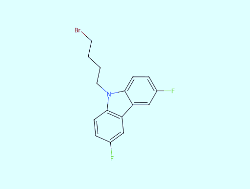 Fc1ccc2c(c1)c1cc(F)ccc1n2CCCCBr